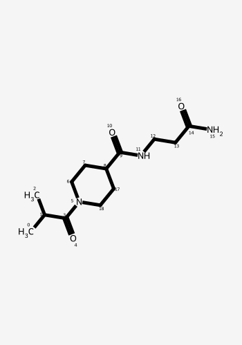 C[C](C)C(=O)N1CCC(C(=O)NCCC(N)=O)CC1